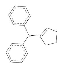 C1=C(N(c2ccccc2)c2ccccc2)CCC1